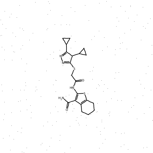 NC(=O)c1c(NC(=O)CSC2=NN=C(C3CC3)C2C2CC2)sc2c1CCCC2